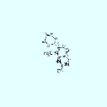 CN1c2nc(Cl)ncc2OC[C@H]1c1ccccc1